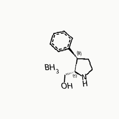 B.OC[C@H]1NCC[C@@H]1c1ccccc1